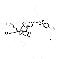 CCCCN(CCCC)c1nc2[nH]c(=O)[nH]c(=O)c2n1CC(O)CN1CCN(CCCS(=O)(=O)c2ccc(C)cc2)CC1